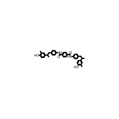 Cc1cc(C(C)Cc2ccc(NC(=O)c3ccc(C(=O)Nc4ccc(CC(C)c5ccc(O)c(C)c5)cc4)cc3)cc2)ccc1O